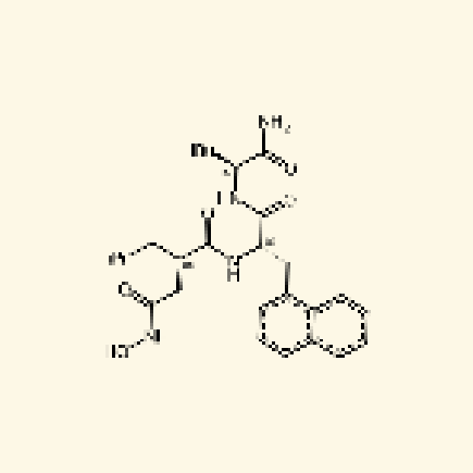 CCC(C)[C@H](NC(=O)[C@H](Cc1cccc2ccccc12)NC(=O)[C@@H](CC(=O)NO)CC(C)C)C(N)=O